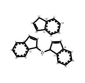 C1=C[CH]([Zr][CH]2C=Cc3ccccc32)c2ccccc21.C1=Cc2ccccc2C1